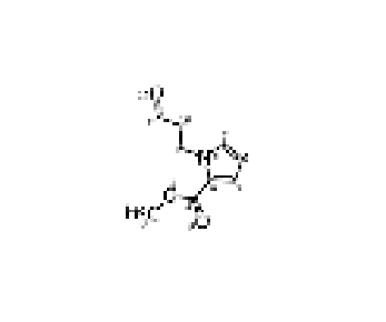 COC(=O)c1cccn1CCC=O